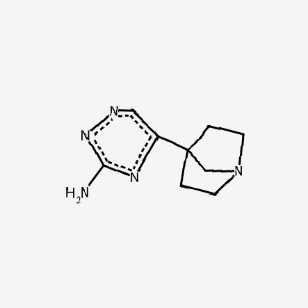 Nc1nncc(C23CCN(CC2)C3)n1